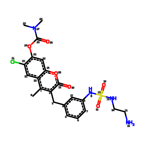 Cc1c(Cc2cccc(NS(=O)(=O)NCCN)c2)c(=O)oc2cc(OC(=O)N(C)C)c(Cl)cc12